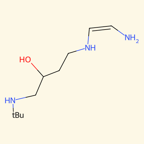 CC(C)(C)NCC(O)CCN/C=C\N